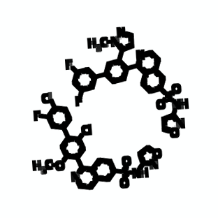 COc1cc(-c2ccc(Cl)c(F)c2)c(Cl)cc1-c1nccc2cc(S(=O)(=O)Nc3ccon3)ccc12.Cn1nccc1-c1cc(-c2cc(F)cc(F)c2)ccc1-c1nccc2cc(S(=O)(=O)Nc3ccon3)ccc12